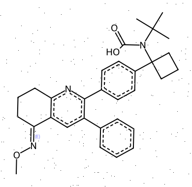 CO/N=C1\CCCc2nc(-c3ccc(C4(N(C(=O)O)C(C)(C)C)CCC4)cc3)c(-c3ccccc3)cc21